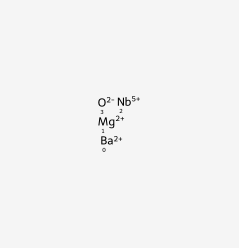 [Ba+2].[Mg+2].[Nb+5].[O-2]